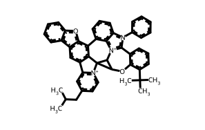 CC(C)Cc1cc[n+]2c(c1)-c1cc3c(oc4ccccc43)c3c1C21C2Oc4c(cccc4C(C)(C)C)-c4n(-c5ccccc5)c5cccc-3c5[n+]4C21